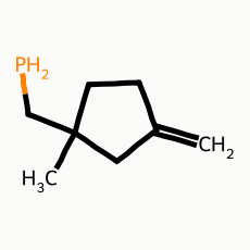 C=C1CCC(C)(CP)C1